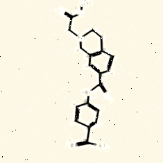 CC(C)(C)OC(=O)CN1CCc2ccc(C(=O)Nc3ccc(C(=N)N)cc3)cc2C1